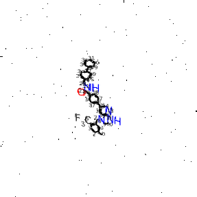 Cc1ccc(C(F)(F)F)c(CN2CCNc3ncc(-c4ccc(C(=O)NCc5ccc(-c6ccccc6)cc5)cc4)cc32)c1